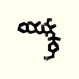 COc1ccc(S(=O)(=O)CC(NC(=O)CN(Cc2ccccc2)C(=O)O)C(=O)NO)cc1